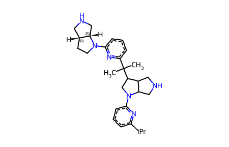 CC(C)c1cccc(N2CC(C(C)(C)c3cccc(N4CC[C@@H]5CNC[C@@H]54)n3)C3CNCC32)n1